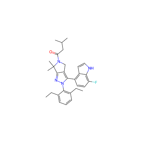 CCc1cccc(CC)c1-n1nc2c(c1-c1ccc(F)c3[nH]ccc13)CN(C(=O)CC(C)C)C2(C)C